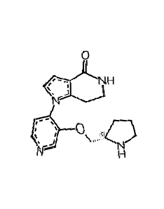 O=C1NCCc2c1ccn2-c1ccncc1OC[C@@H]1CCCN1